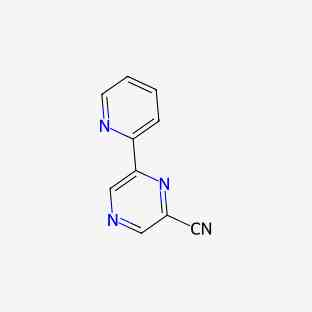 N#Cc1cncc(-c2ccccn2)n1